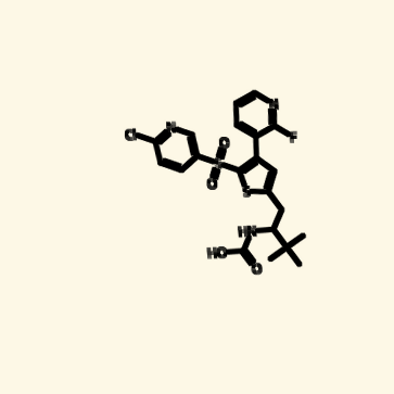 CC(C)(C)C(Cc1cc(-c2cccnc2F)c(S(=O)(=O)c2ccc(Cl)nc2)s1)NC(=O)O